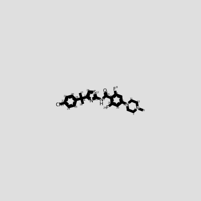 CN1CCN(c2cc(F)c(C(=O)Nc3nc(C(C)(C)c4ccc(Cl)cc4)cs3)c(F)c2)CC1